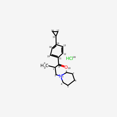 CC(CN1CCCCC1)C(=O)c1ccc(C2CC2)cc1.Cl